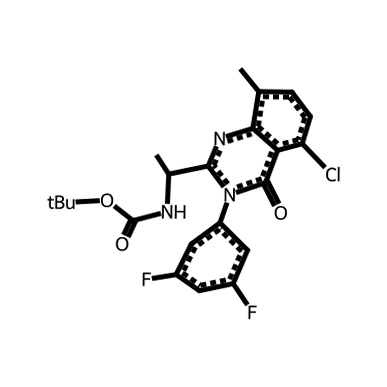 Cc1ccc(Cl)c2c(=O)n(-c3cc(F)cc(F)c3)c(C(C)NC(=O)OC(C)(C)C)nc12